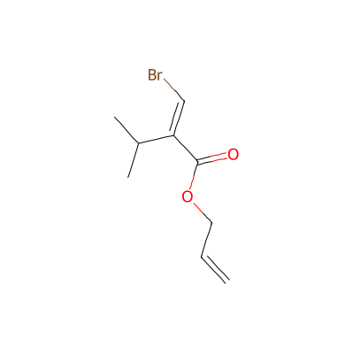 C=CCOC(=O)/C(=C/Br)C(C)C